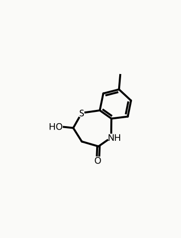 Cc1ccc2c(c1)SC(O)CC(=O)N2